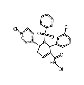 O=C(NO)C1=CC[C@@H](c2ccc(Cl)cc2)N(S(=O)(=O)c2ccccc2)C1c1cccc(Cl)c1